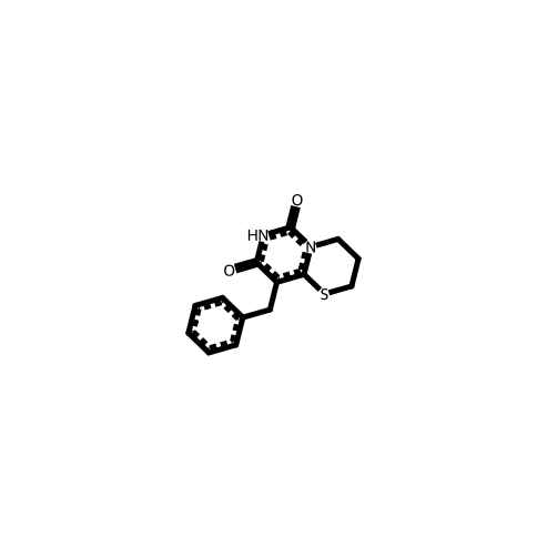 O=c1[nH]c(=O)n2c(c1Cc1ccccc1)SCCC2